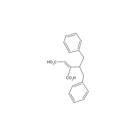 O=C(O)C=C(C(=O)O)C(Cc1ccccc1)Cc1ccccc1